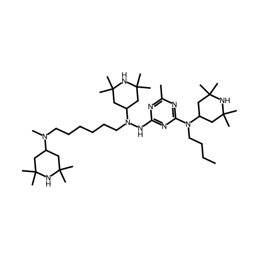 CCCCN(c1nc(C)nc(NN(CCCCCCN(C)C2CC(C)(C)NC(C)(C)C2)C2CC(C)(C)NC(C)(C)C2)n1)C1CC(C)(C)NC(C)(C)C1